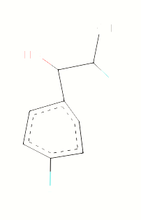 CC(F)C(O)c1ccc(F)cc1